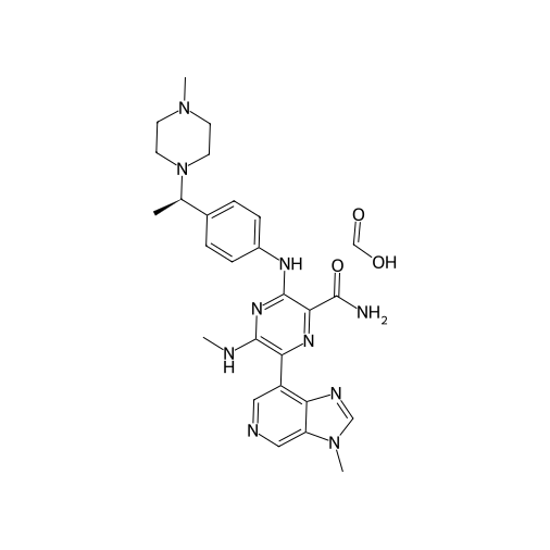 CNc1nc(Nc2ccc([C@@H](C)N3CCN(C)CC3)cc2)c(C(N)=O)nc1-c1cncc2c1ncn2C.O=CO